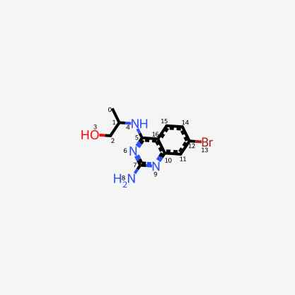 CC(CO)Nc1nc(N)nc2cc(Br)ccc12